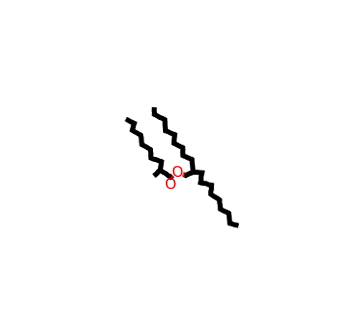 CCCCCCCCCC(CCCCCCCCC)COC(=O)C(C)CCCCCCCC